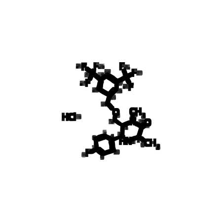 CC1N[C@@H](c2ccc(F)cc2)[C@@H](COCc2cc(C(F)(F)F)cc(C(F)(F)F)c2)N(C)C1=O.Cl